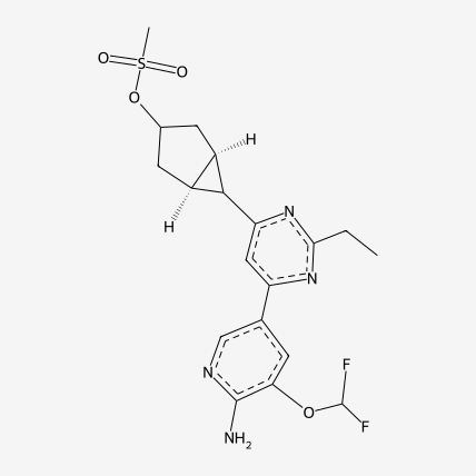 CCc1nc(-c2cnc(N)c(OC(F)F)c2)cc(C2[C@H]3CC(OS(C)(=O)=O)C[C@@H]23)n1